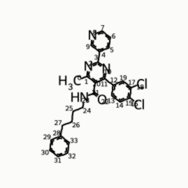 Cc1nc(-c2cccnc2)nc(-c2ccc(Cl)c(Cl)c2)c1C(=O)NCCCCc1ccccc1